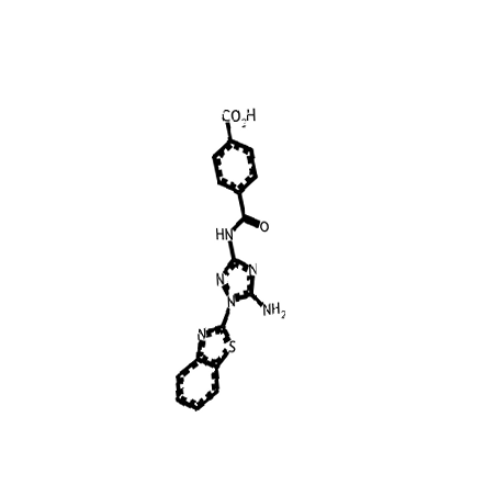 Nc1nc(NC(=O)c2ccc(C(=O)O)cc2)nn1-c1nc2ccccc2s1